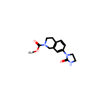 CC(C)(C)OC(=O)N1CCc2ccc(N3CCNC3=O)cc2C1